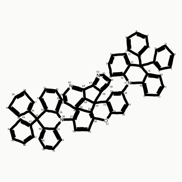 c1ccc(C2(c3ccccc3)c3ccccc3N(c3ccc4c(c3)C3(c5cc(N6c7ccccc7C(c7ccccc7)(c7ccccc7)c7ccccc76)ccc5O4)c4cccnc4-c4ncccc43)c3ccccc32)cc1